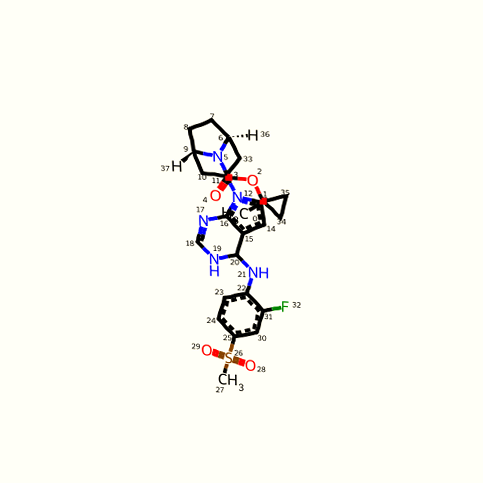 CC1(OC(=O)N2[C@H]3CC[C@H]2CC(n2ccc4c2N=CNC4Nc2ccc(S(C)(=O)=O)cc2F)C3)CC1